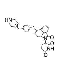 O=C1CCC(N2C(=O)c3cccc4c(Cc5ccc(CN6CCNCC6)cc5)ccc2c34)C(=O)N1